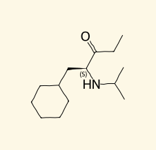 CCC(=O)[C@H](CC1CCCCC1)NC(C)C